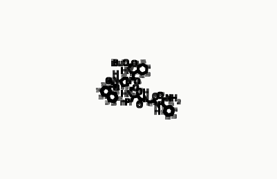 CCCC(NC(=O)[C@@H]1C[C@@H](NS(=O)(=O)c2cccc3ccccc23)CN1C(=O)[C@@H](NC(=O)OCC(C)C)C1CCCCC1)C(=O)C(=O)NCC(=O)N[C@H](C(N)=O)c1ccccc1